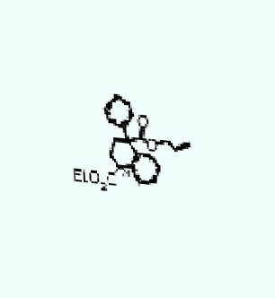 C=CCOC(=O)C1(c2ccccc2)CC[C@H](C(=O)OCC)c2ccccc21